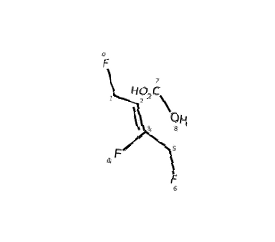 FCC=C(F)CF.O=C(O)O